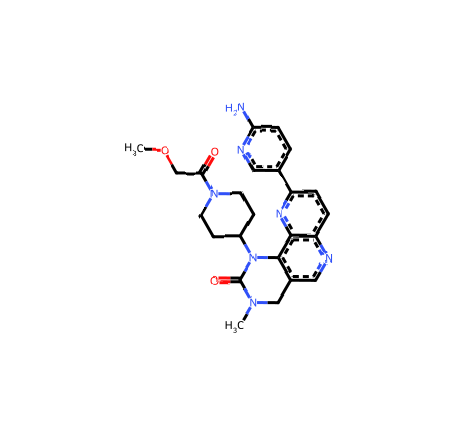 COCC(=O)N1CCC(N2C(=O)N(C)Cc3cnc4ccc(-c5ccc(N)nc5)nc4c32)CC1